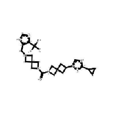 O=C(N1CC2(CC(n3cnc(C4CC4)n3)C2)C1)N1CC2(CN(Cc3ncoc3C(F)(F)F)C2)C1